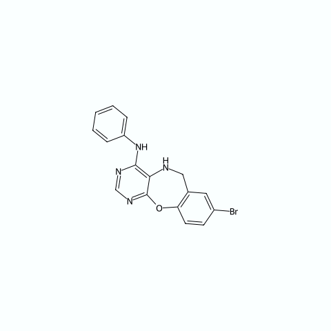 Brc1ccc2c(c1)CNc1c(Nc3ccccc3)ncnc1O2